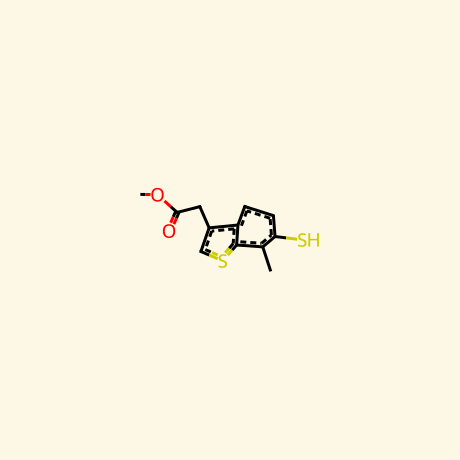 COC(=O)Cc1csc2c(C)c(S)ccc12